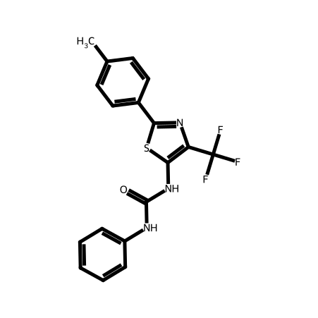 Cc1ccc(-c2nc(C(F)(F)F)c(NC(=O)Nc3ccccc3)s2)cc1